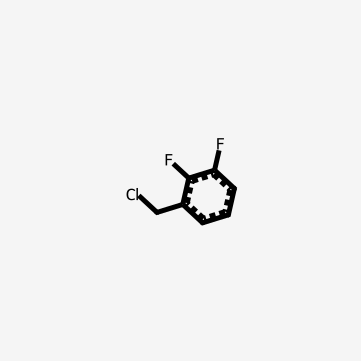 Fc1cccc(CCl)c1F